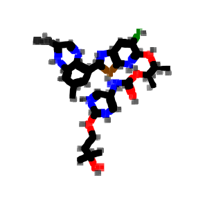 COc1cnc2c(-c3nc4cc(F)c(O[C@@H](C)[C@@H](C)OC(=O)Nc5cnc(OCCC(C)(C)O)nc5)nc4s3)cc(C)cc2n1